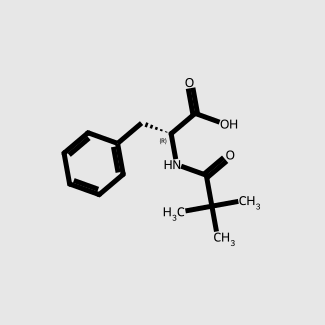 CC(C)(C)C(=O)N[C@H](Cc1ccccc1)C(=O)O